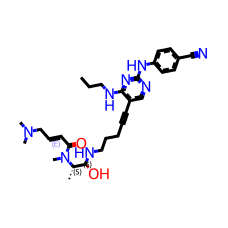 CCCNc1nc(Nc2ccc(C#N)cc2)ncc1C#CCCCN[C@@H](O)[C@H](C)N(C)C(=O)/C=C/CN(C)C